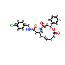 O=C(C[C@@H]1C/C=C/CCC(=O)O[C@H](c2ccccc2)CC(=O)N1)NCc1ccc(Cl)cc1